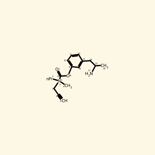 C#CC[N+](C)(CCC)C(=O)Oc1cccc(CC(C)N)c1